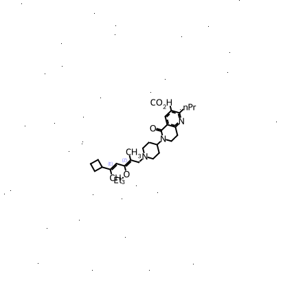 CCCc1nc2c(cc1C(=O)O)C(=O)N(C1CCN(C/C(C)=C(/C=C(\C)C3CCC3)OCC)CC1)CC2